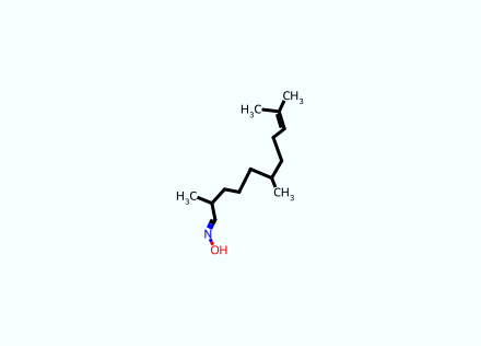 CC(C)=CCCC(C)CCCC(C)C=NO